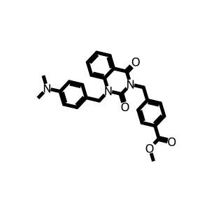 COC(=O)c1ccc(Cn2c(=O)c3ccccc3n(Cc3ccc(N(C)C)cc3)c2=O)cc1